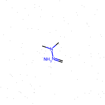 C=NN(C)C.N